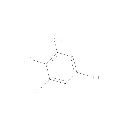 [CH2]CCc1cc(O)c(O)c([N+](=O)[O-])c1